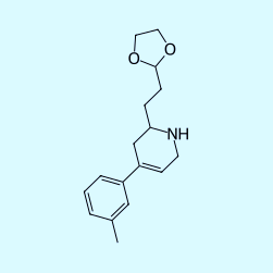 Cc1cccc(C2=CCNC(CCC3OCCO3)C2)c1